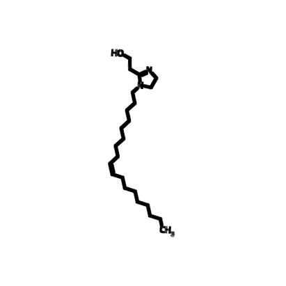 CCCCCCCC/C=C\CCCCCCCCN1CCN=C1CCO